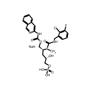 CN(C(=O)NCc1cccc(F)c1Cl)[C@H](COC(=O)Nc1cc2ccccc2cn1)C[C@H](O)COP(=O)(O)O.[NaH]